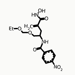 C=C(CC(COCOCC)NC(=O)c1ccc([N+](=O)[O-])cc1)C(=O)NO